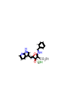 CCOC(=O)C1=C(NCc2ccccc2)O/C(=C\c2c[nH]c3ncccc23)C1=O.Cl